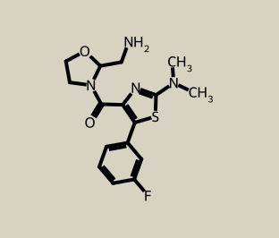 CN(C)c1nc(C(=O)N2CCOC2CN)c(-c2cccc(F)c2)s1